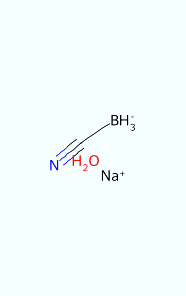 O.[BH3-]C#N.[Na+]